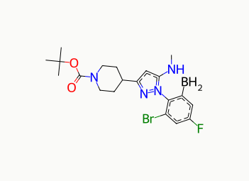 Bc1cc(F)cc(Br)c1-n1nc(C2CCN(C(=O)OC(C)(C)C)CC2)cc1NC